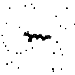 CC(=O)C(=O)OC=CCC(C)C